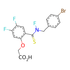 O=C(O)COc1cc(F)c(F)cc1C(=S)N(F)Cc1ccc(Br)cc1